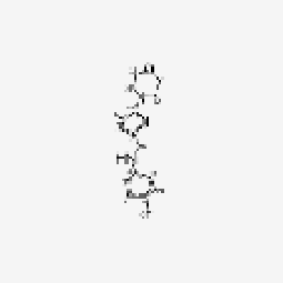 Fc1ccc(NCc2csc(N3CCOCC3)n2)cc1